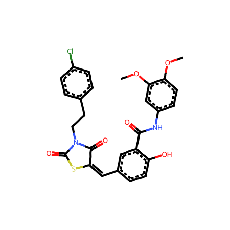 COc1ccc(NC(=O)c2cc(C=C3SC(=O)N(CCc4ccc(Cl)cc4)C3=O)ccc2O)cc1OC